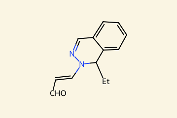 CCC1c2ccccc2C=NN1C=CC=O